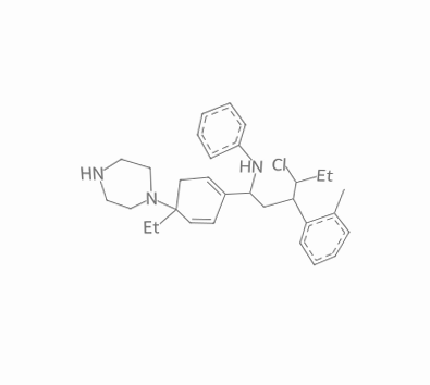 CCC(Cl)C(CC(Nc1ccccc1)C1=CCC(CC)(N2CCNCC2)C=C1)c1ccccc1C